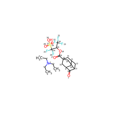 CCN(CC)CC.O=C1C2CC3CC1CC(C(=O)OC(C(F)(F)F)C(F)(F)S(=O)(=O)O)(C3)C2